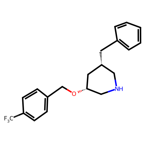 FC(F)(F)c1ccc(CO[C@H]2CNC[C@@H](Cc3ccccc3)C2)cc1